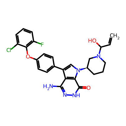 C=CC(O)N1CCC[C@@H](n2cc(-c3ccc(Oc4c(F)cccc4Cl)cc3)c3c(N)n[nH]c(=O)c32)C1